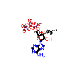 Nc1ncnc2c1ncn2C1OC(COP(=O)([O-])OP(=O)([O-])OP(=O)([O-])[O-])C(O)C1O.[Mg+2].[Mg+2]